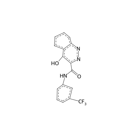 O=C(Nc1cccc(C(F)(F)F)c1)c1nnc2ccccc2c1O